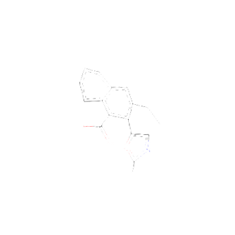 CCc1cc2ccccc2c(C(=O)O)c1-c1cnc(C)o1